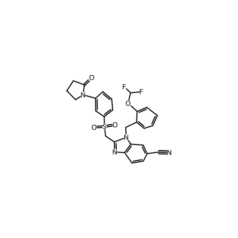 N#Cc1ccc2nc(CS(=O)(=O)c3cccc(N4CCCC4=O)c3)n(Cc3ccccc3OC(F)F)c2c1